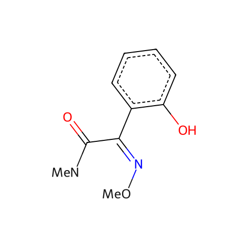 CNC(=O)C(=NOC)c1ccccc1O